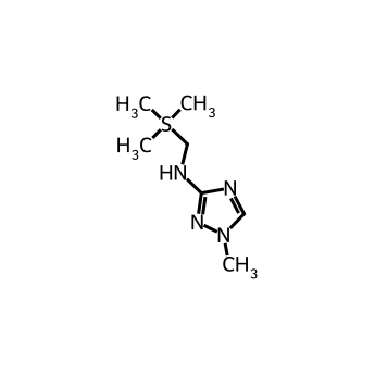 Cn1cnc(NCS(C)(C)C)n1